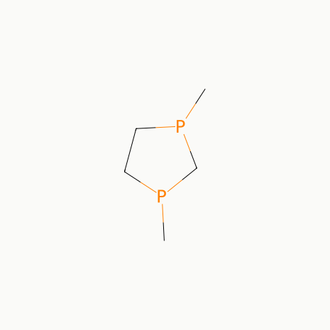 CP1CCP(C)C1